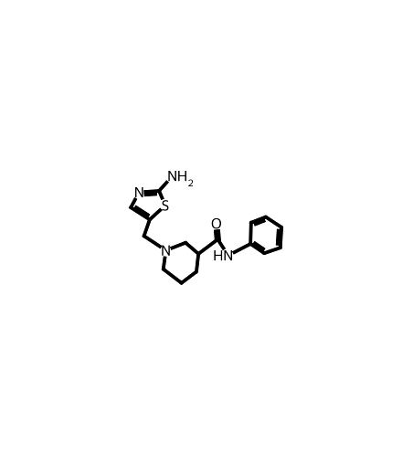 Nc1ncc(CN2CCCC(C(=O)Nc3ccccc3)C2)s1